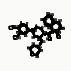 O=C(N1CCN(c2ccc(Cl)c(Cl)c2)CC1CN1CCOCC1)n1c(=O)ccc2cccnc21